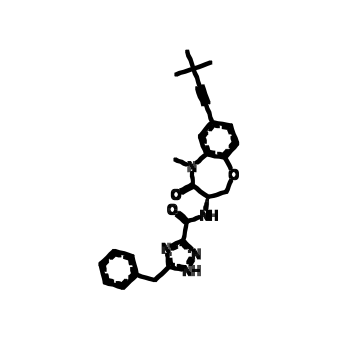 CN1C(=O)[C@H](NC(=O)c2n[nH]c(Cc3ccccc3)n2)COc2ccc(C#CC(C)(C)C)cc21